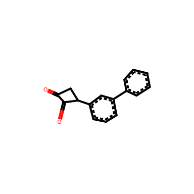 O=C1CC(c2cccc(-c3ccccc3)c2)C1=O